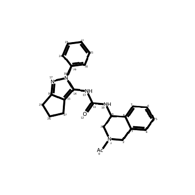 CC(=O)N1Cc2ccccc2C(NC(=O)Nc2c3c(nn2-c2ccccc2)CCC3)C1